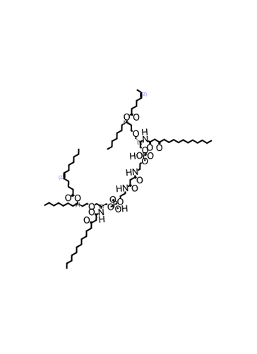 C/C=C\CCCC(=O)O[C@H](CCCCCCC)CCOC[C@@H](COP(=O)(O)OCCNC(=O)CC(=O)NCCOP(=O)(O)OC[C@H](COCC[C@@H](CCCCCCC)OC(=O)CCC/C=C\CCCCCC)NC(=O)CC(=O)CCCCCCCCCCC)NC(=O)CC(=O)CCCCCCCCCCC